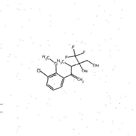 C=C(c1cccc(Cl)c1OC)C(C)C(O)(CO)C(F)(F)F